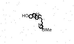 COc1ccnc(CC[C@@H](C)[C@H]2CC[C@H]3[C@@H]4CC=C5C[C@@H](O)CC[C@]5(C)[C@H]4CC[C@]23C)c1